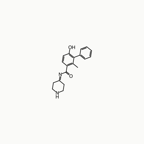 Cc1c(C(=O)N=C2CCNCC2)ccc(O)c1-c1ccccc1